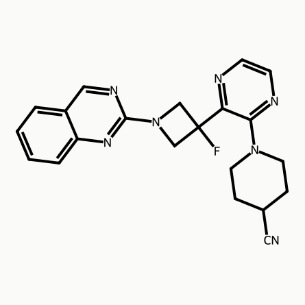 N#CC1CCN(c2nccnc2C2(F)CN(c3ncc4ccccc4n3)C2)CC1